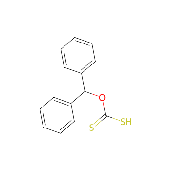 S=C(S)OC(c1ccccc1)c1ccccc1